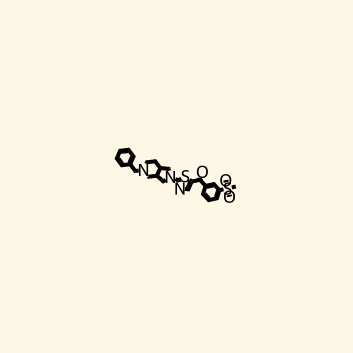 CS(=O)(=O)c1cccc(C(=O)c2cnc(N3CC4CCN(Cc5ccccc5)CC4C3)s2)c1